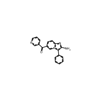 Nc1nc2ccc(C(=O)c3cccnc3)cn2c1-c1ccccc1